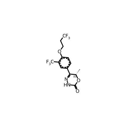 C[C@@H]1OC(=O)NN=C1c1ccc(OCCC(F)(F)F)c(C(F)(F)F)c1